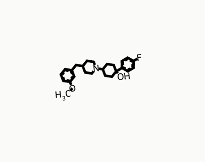 COc1cccc(CC2CCN(C3CCC(O)(c4ccc(F)cc4)CC3)CC2)c1